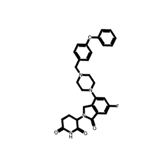 O=C1CCC(N2Cc3c(cc(F)cc3N3CCN(Cc4ccc(Oc5ccccc5)cc4)CC3)C2=O)C(=O)N1